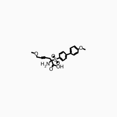 COCC#CCC(N)(C(=O)O)S(=O)(=O)c1ccc(-c2ccc(OC)cc2)cc1